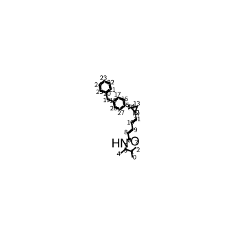 CC(C)C(C)NC(=O)C=CC=C[C@@H]1C[C@H]1c1ccc(Cc2ccccc2)cc1